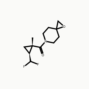 C[C@]1(C(=O)N2CCC3(CC2)CO3)C[C@@H]1C(F)F